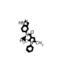 CC1CC(C(=O)N(C2CC2)C2CCc3[nH]ncc3C2)C(C)N1C1=CC=CCC1